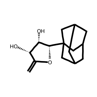 C=C1O[C@@H](C23CC4CC(CC(C4)C2)C3)[C@@H](O)[C@H]1O